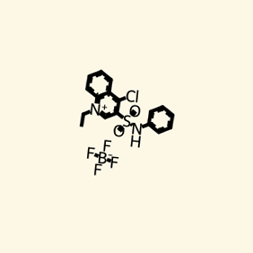 CC[n+]1cc(S(=O)(=O)Nc2ccccc2)c(Cl)c2ccccc21.F[B-](F)(F)F